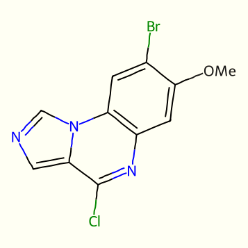 COc1cc2nc(Cl)c3cncn3c2cc1Br